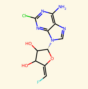 Nc1nc(Cl)nc2c1ncn2[C@@H]1O/C(=C/F)C(O)C1O